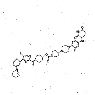 O=C1CCC(Nc2ccc(N3CCN(C4CCN(C(=O)O[C@H]5CC[C@H](Nc6ncc(F)c(-c7cccc(N8CCCCC8)c7)n6)CC5)CC4)CC3)c(F)c2)C(=O)N1